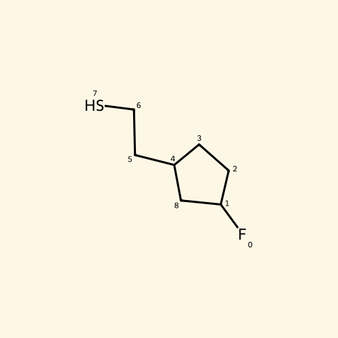 FC1CCC(CCS)C1